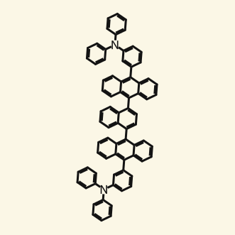 c1ccc(N(c2ccccc2)c2cccc(-c3c4ccccc4c(-c4ccc(-c5c6ccccc6c(-c6cccc(N(c7ccccc7)c7ccccc7)c6)c6ccccc56)c5ccccc45)c4ccccc34)c2)cc1